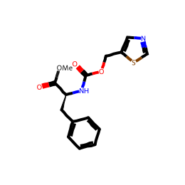 COC(=O)[C@H](Cc1ccccc1)NC(=O)OCc1cncs1